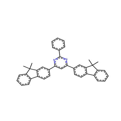 CC1(C)c2ccccc2-c2ccc(-c3cc(-c4ccc5c(c4)C(C)(C)c4ccccc4-5)nc(-c4ccccc4)n3)cc21